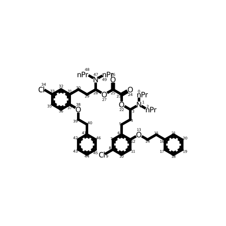 CCCN(CCC)C(CCc1cc(Cl)ccc1OCCc1ccccc1)OC(=O)C(=O)OC(CCc1cc(Cl)ccc1OCCc1ccccc1)N(CCC)CCC